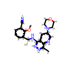 COc1c(C#N)cccc1[C@@H](C)Nc1nnc(C)c2ncc(N3CCOCC3)cc12